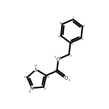 O=C(OCc1ccccc1)c1cncs1